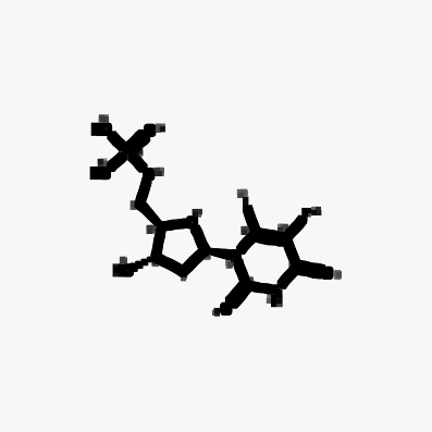 O=c1[nH]c(=O)n([C@H]2C[C@H](O)[C@@H](COP(=O)(O)O)O2)c(I)c1F